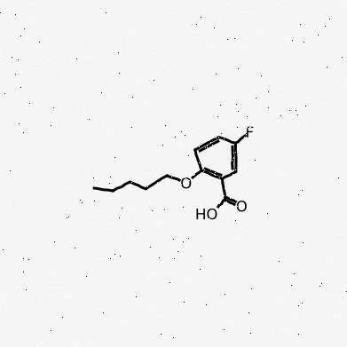 CCCCCOc1ccc(F)cc1C(=O)O